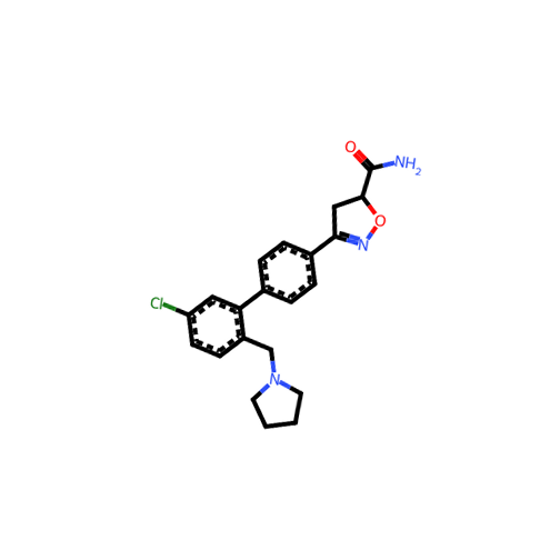 NC(=O)C1CC(c2ccc(-c3cc(Cl)ccc3CN3CCCC3)cc2)=NO1